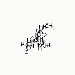 CNCCN(C(=O)O/N=C(\C)[C@H]1CC[C@H]2[C@@H]3CCC4=CC(=O)CC[C@]4(C)[C@H]3CC[C@]12C)C1CCCC1.O=C(O)C(F)(F)F